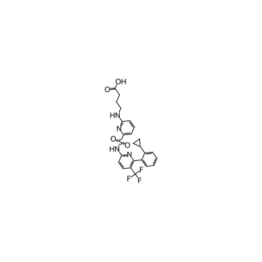 O=C(O)CCCNc1cccc(S(=O)(=O)Nc2ccc(C(F)(F)F)c(-c3ccccc3C3CC3)n2)n1